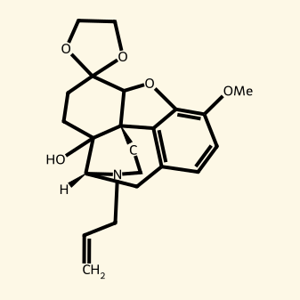 C=CCN1CC[C@]23c4c5ccc(OC)c4OC2C2(CCC3(O)[C@H]1C5)OCCO2